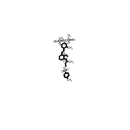 C=C1/C(=C/C=C2/CCC[C@]3(C)[C@@H]([C@H](C)CCOS(=O)(=O)c4ccc(C)cc4)CC[C@@H]23)C[C@@H](O[Si](C)(C)C(C)(C)C)C[C@@H]1O[Si](C)(C)C(C)(C)C